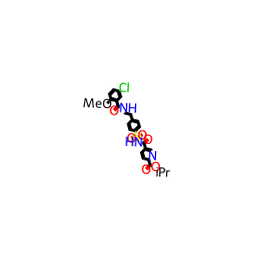 COc1ccc(Cl)cc1C(=O)NCCc1ccc(S(=O)(=O)NC(=O)c2ccc(C(=O)OC(C)C)nc2)cc1